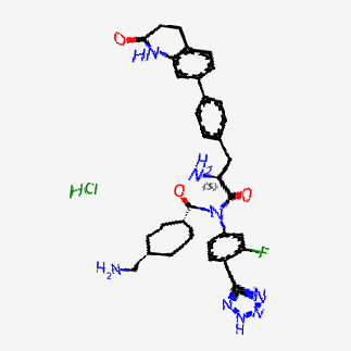 Cl.NC[C@H]1CC[C@H](C(=O)N(C(=O)[C@@H](N)Cc2ccc(-c3ccc4c(c3)NC(=O)CC4)cc2)c2ccc(-c3nn[nH]n3)c(F)c2)CC1